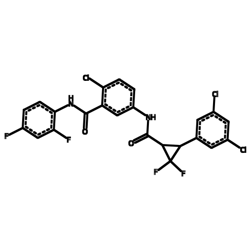 O=C(Nc1ccc(F)cc1F)c1cc(NC(=O)C2C(c3cc(Cl)cc(Cl)c3)C2(F)F)ccc1Cl